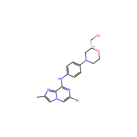 Cc1cn2cc(Br)nc(Nc3ccc(N4CCO[C@@H](CO)C4)cc3)c2n1